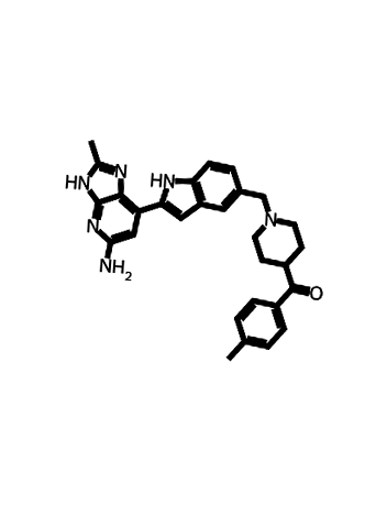 Cc1ccc(C(=O)C2CCN(Cc3ccc4[nH]c(-c5cc(N)nc6[nH]c(C)nc56)cc4c3)CC2)cc1